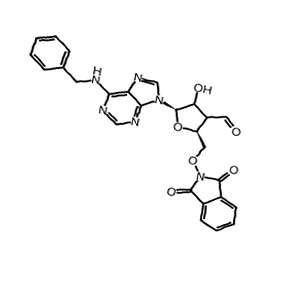 O=CC1C(O)[C@H](n2cnc3c(NCc4ccccc4)ncnc32)O[C@@H]1CON1C(=O)c2ccccc2C1=O